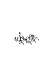 CC(C)(C)C(C)(C)OB(O)N1OC(C)(C)C(C)(C)O1